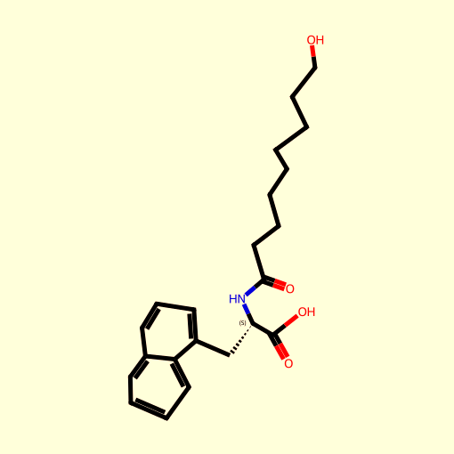 O=C(CCCCCCCCO)N[C@@H](Cc1cccc2ccccc12)C(=O)O